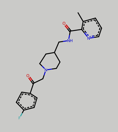 Cc1cccnc1C(=O)NCC1CCN(CC(=O)c2ccc(F)cc2)CC1